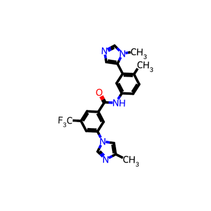 Cc1cn(-c2cc(C(=O)Nc3ccc(C)c(-c4cncn4C)c3)cc(C(F)(F)F)c2)cn1